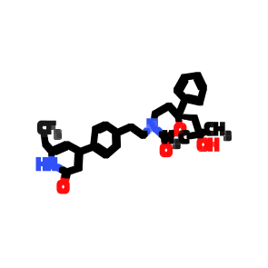 CC(C)(O)C[C@]1(c2ccccc2)CCN(CCc2ccc(-c3cc(CC(F)(F)F)[nH]c(=O)c3)cc2)C(=O)O1